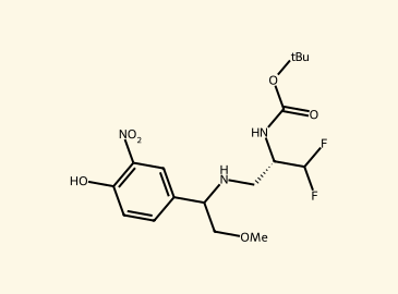 COCC(NC[C@H](NC(=O)OC(C)(C)C)C(F)F)c1ccc(O)c([N+](=O)[O-])c1